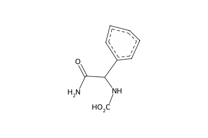 NC(=O)C(NC(=O)O)c1ccccc1